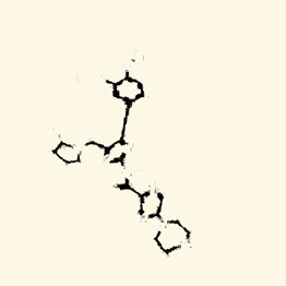 CCOc1ccc(-c2nc(NC(=O)c3cnc(N4CCNCC4)cn3)sc2CN2CCC[C@H]2C)cc1C(F)(F)F